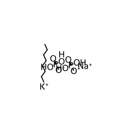 CCCCCCCC.O=P([O-])(O)O.O=P([O-])(O)O.[K+].[Na+]